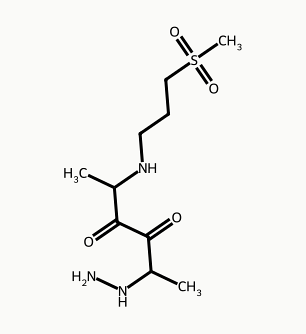 CC(NN)C(=O)C(=O)C(C)NCCCS(C)(=O)=O